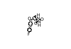 CC(CC1(C2CC2)NC(=O)NC1=O)C(=O)N1CCN(c2ccc(F)cc2)CC1